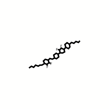 CCCCCCCC1CCC(CCC2CCC(C3CCC(C4CCC(CCCCC)CC4)C(F)C3F)CC2)C(F)C1F